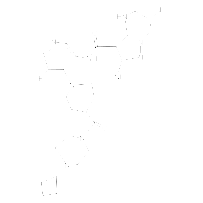 NC1NN2CC(F)CNC2C1C(=O)Nc1cncc(F)c1N1CCC(C(=O)N2CCN(C3CCC3)CC2)CC1